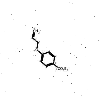 C=CCOc1ccc(C(=O)OCC)cc1